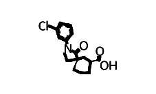 O=C(O)[C@H]1CCC[C@]2(CCN(c3cccc(Cl)c3)C2=O)C1